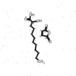 CCCCCCCCCCC(O)C(=O)O.O=C1C=CC(=O)O1